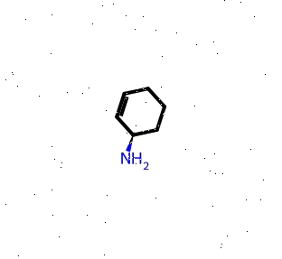 N[C@H]1C=CCCC1